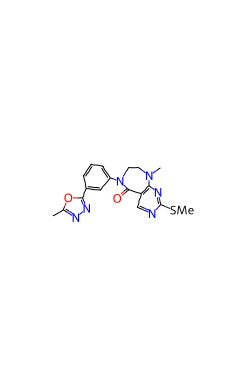 CSc1ncc2c(n1)N(C)CCN(c1cccc(-c3nnc(C)o3)c1)C2=O